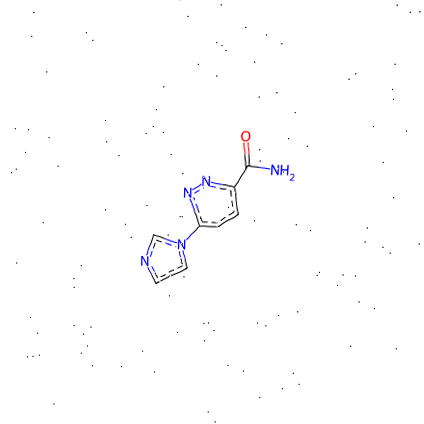 NC(=O)c1ccc(-n2ccnc2)nn1